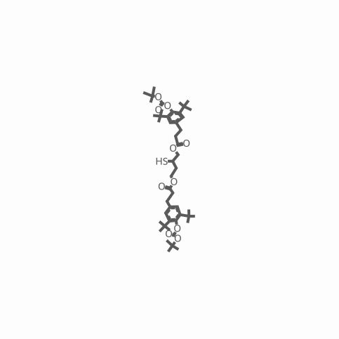 CC(C)(C)OC(=O)Oc1c(C(C)(C)C)cc(CCC(=O)OCCC(S)COC(=O)CCc2cc(C(C)(C)C)c(OC(=O)OC(C)(C)C)c(C(C)(C)C)c2)cc1C(C)(C)C